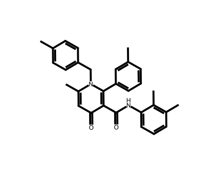 Cc1ccc(Cn2c(C)cc(=O)c(C(=O)Nc3cccc(C)c3C)c2-c2cccc(C)c2)cc1